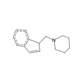 C1=CC(CN2CCCCC2)c2ccccc21